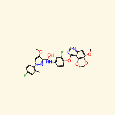 COc1cn(-c2ccc(F)cc2C)nc1C(O)Nc1ccc(Oc2ncnc3cc(OC)c4c(c23)OCCO4)c(F)c1